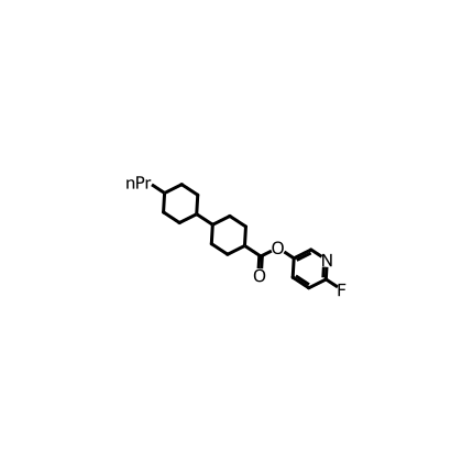 CCCC1CCC(C2CCC(C(=O)Oc3ccc(F)nc3)CC2)CC1